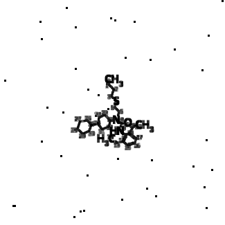 CCCCSCCN(C(=O)Nc1c(CC)cccc1CC)[C@H]1CC[C@H](C2CCCCC2)CC1